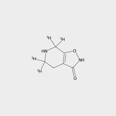 [2H]C1([2H])Cc2c(o[nH]c2=O)C([2H])([2H])N1